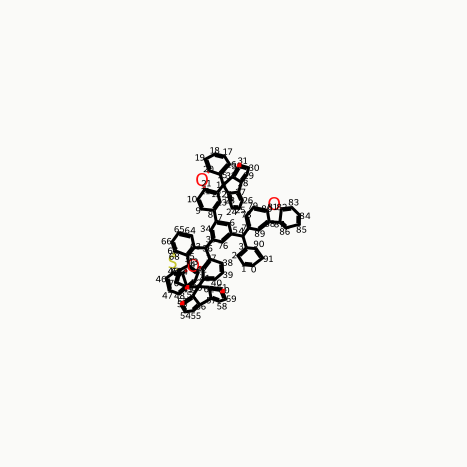 c1ccc(C(c2cc(-c3ccc4c(c3)C3(c5ccccc5O4)c4ccccc4-c4ccccc43)cc(C(c3cccc4c3Oc3ccccc3C43c4ccccc4-c4ccccc43)c3cccc4sc5ccccc5c34)c2)c2ccc3oc4ccccc4c3c2)cc1